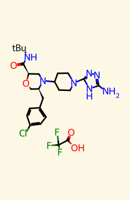 CC(C)(C)NC(=O)[C@H]1CN(C2CCN(c3nnc(N)[nH]3)CC2)[C@@H](Cc2ccc(Cl)cc2)CO1.O=C(O)C(F)(F)F